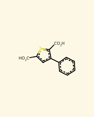 O=C(O)c1cc(-c2ccccc2)c(C(=O)O)s1